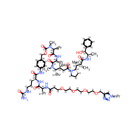 CCCn1cc(COCCOCCOCCOCCC(=O)NC(C(=O)N[C@@H](CCCNC(N)=O)C(=O)Nc2ccc(COC(=O)N(C)C(C(=O)N[C@H](C(=O)N(C)C([C@@H](C)CC)[C@@H](CC(=O)N3CCC[C@H]3[C@H](OC)[C@@H](C)C(=O)N[C@H](C)[C@@H](O)c3ccccc3)OC)C(C)C)C(C)C)cc2)C(C)C)nn1